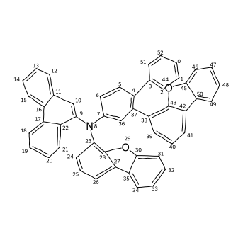 c1ccc(-c2ccc(N(c3cc4ccccc4c4ccccc34)c3cccc4c3oc3ccccc34)cc2-c2cccc3c2oc2ccccc23)cc1